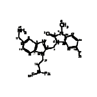 Cn1c(=O)n(Cc2nc3cc(CN)ccc3n2CCC(F)F)c2cc(F)ccc21